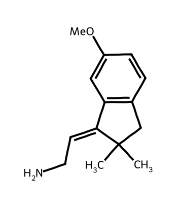 COc1ccc2c(c1)C(=CCN)C(C)(C)C2